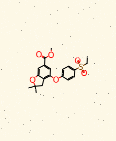 CCS(=O)(=O)c1ccc(Oc2cc(C(=O)OC)cc3c2CC(C)(C)O3)cc1